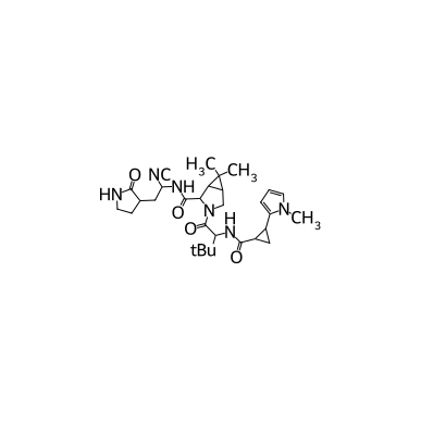 Cn1cccc1C1CC1C(=O)NC(C(=O)N1CC2C(C1C(=O)NC(C#N)CC1CCNC1=O)C2(C)C)C(C)(C)C